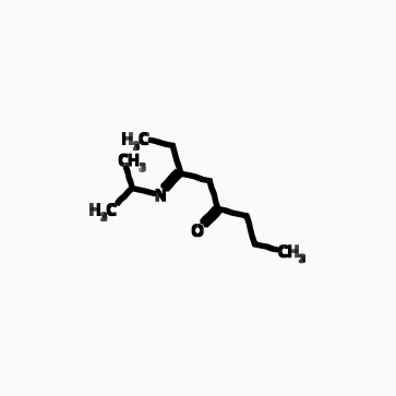 CCCC(=O)CC(CC)=NC(C)C